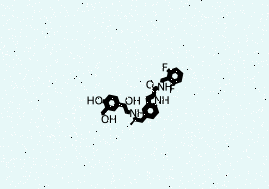 C[C@H](Cc1ccc2[nH]c(C(=O)NCc3c(F)cccc3F)cc2c1)NC[C@H](O)c1ccc(O)c(CO)c1